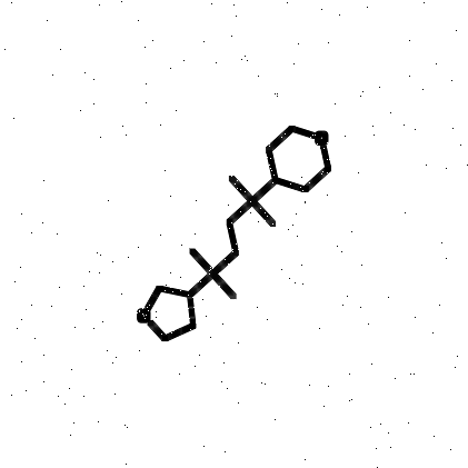 CC(C)(CCC(C)(C)C1CCOC1)C1CCOCC1